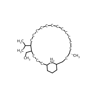 CCC1CCCC2CCCC(CC[C@@H](C)CCCCCCCCCCCCC1C(C)C)[SiH2]2